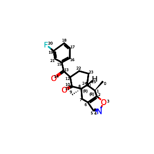 C[C@H]1c2oncc2C[C@@]2(C)C(=O)C(C(=O)c3cccc(F)c3)CC[C@H]12